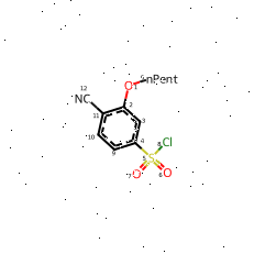 CCCCCOc1cc(S(=O)(=O)Cl)ccc1C#N